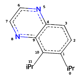 CC(C)c1ccc2nccnc2c1C(C)C